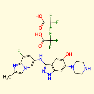 Cc1cn2cc(Nc3n[nH]c4cc(N5CCNCC5)c(O)cc34)cc(F)c2n1.O=C(O)C(F)(F)F.O=C(O)C(F)(F)F